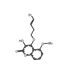 CCC=CCCOc1c(O)c(=O)oc2cccc(OC(C)(C)C)c12